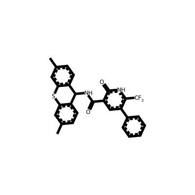 Cc1ccc2c(c1)Sc1cc(C)ccc1C2NC(=O)c1cc(-c2ccccc2)c(C(F)(F)F)[nH]c1=O